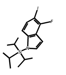 CC(C)[Si](C(C)C)(C(C)C)n1ccc2c(F)c(I)ccc21